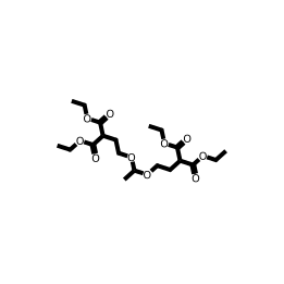 CCOC(=O)C(CCOC(C)OCCC(C(=O)OCC)C(=O)OCC)C(=O)OCC